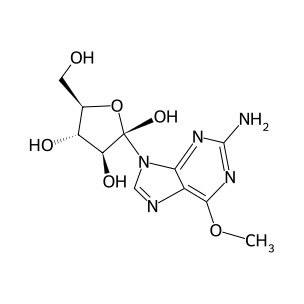 COc1nc(N)nc2c1ncn2[C@@]1(O)O[C@H](CO)[C@@H](O)[C@@H]1O